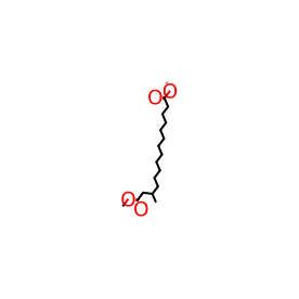 COC(=O)CCCCCCCCCCCC(C)CC(=O)OC